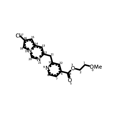 COCCOC(=O)c1ccnc(Cc2cc3cc(Cl)cn3cn2)c1